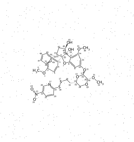 COc1ccc([C@@]23Oc4cc(O[C@@H]5O[C@@H](CCSSc6ccc([N+](=O)[O-])cn6)CO[C@H]5OC)cc(OC)c4[C@]2(O)[C@H](O)C[C@H]3c2ccccc2)cc1